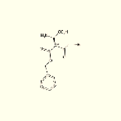 NC(C(=O)O)[C@@H](C(=O)CBr)C(=O)OCc1ccccc1